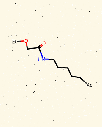 CCOCC(=O)NCCCCCC(C)=O